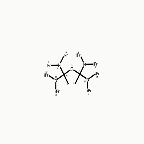 CC(C)N(C(C)C)C(C)(OC(C)(N(C(C)C)C(C)C)N(C(C)C)C(C)C)N(C(C)C)C(C)C